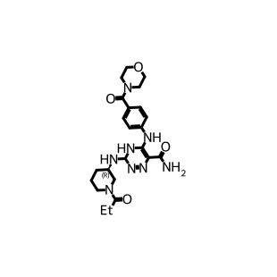 CCC(=O)N1CCC[C@@H](NC2N=NC(C(N)=O)=C(Nc3ccc(C(=O)N4CCOCC4)cc3)N2)C1